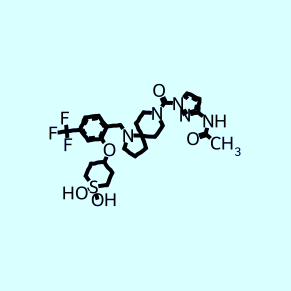 CC(=O)Nc1ccn(C(=O)N2CCC3(CCCN3Cc3ccc(C(F)(F)F)cc3OC3CCS(O)(O)CC3)CC2)n1